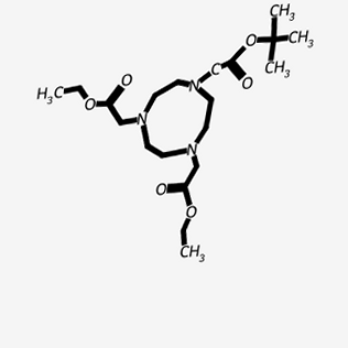 CCOC(=O)CN1CCN(CC(=O)OCC)CCN(CC(=O)OC(C)(C)C)CC1